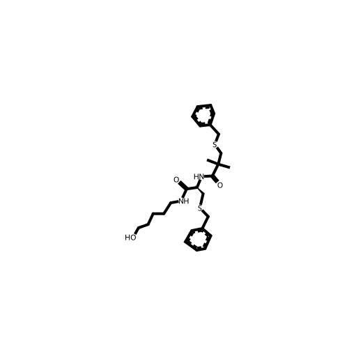 CC(C)(CSCc1ccccc1)C(=O)N[C@@H](CSCc1ccccc1)C(=O)NCCCCCO